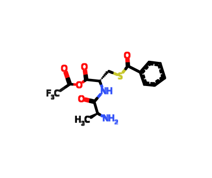 C[C@H](N)C(=O)N[C@@H](CSC(=O)c1ccccc1)C(=O)OC(=O)C(F)(F)F